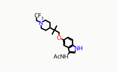 CC(=O)Nc1c[nH]c2ccc(OCC(C)(C)C3CCN(CC(F)(F)F)CC3)cc12